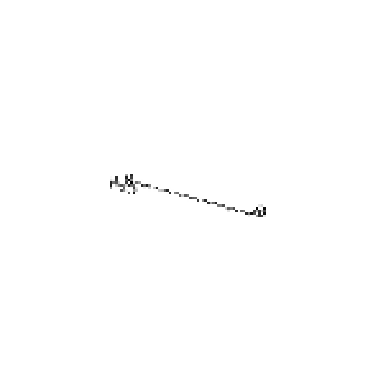 NC(=O)CCCCCCCCCCCCCCCCCCCCCCCCC1COC1